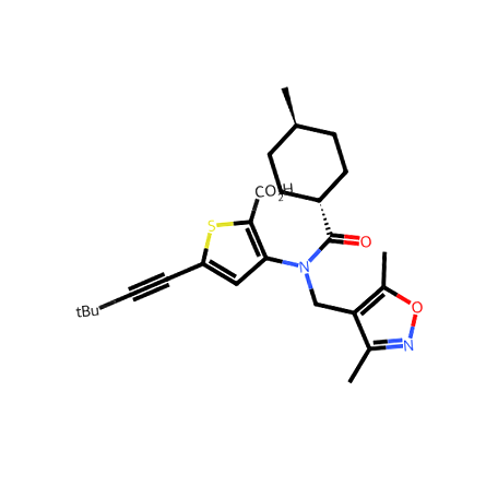 Cc1noc(C)c1CN(c1cc(C#CC(C)(C)C)sc1C(=O)O)C(=O)[C@H]1CC[C@H](C)CC1